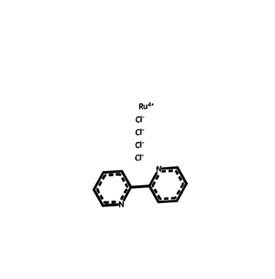 [Cl-].[Cl-].[Cl-].[Cl-].[Ru+4].c1ccc(-c2ccccn2)nc1